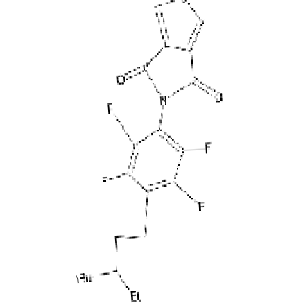 CCCCC(CC)CCc1c(F)c(F)c(N2C(=O)c3cscc3C2=O)c(F)c1F